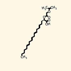 C=C(C)OCC(=O)O[C@H](CCC=CCC=CCC=CCC=CCCCCC)C(=O)O